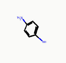 [NH]c1ccc(N)cc1